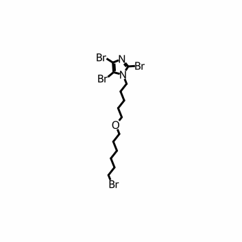 BrCCCCCCOCCCCCn1c(Br)nc(Br)c1Br